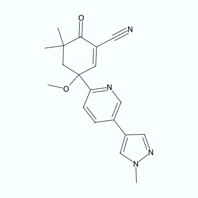 COC1(c2ccc(-c3cnn(C)c3)cn2)C=C(C#N)C(=O)C(C)(C)C1